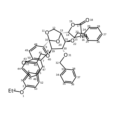 CCOc1ccc(Cc2cc([C@]34OC[C@](C5CNC(=O)O5)(O3)[C@@H](OCc3ccccc3)[C@H](OCc3ccccc3)[C@H]4OCc3ccccc3)ccc2Cl)cc1